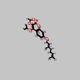 CC(=O)Oc1c(OC(C)C)c2ccc(OC/C=C(\C)CCC=C(C)C)cc2oc1=O